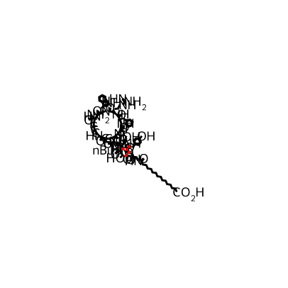 CCCC[C@H](NC(=O)[C@@H](NC(=O)[C@H](Cc1ccc(O)cc1)NC(=O)[C@H](CO)NC(=O)[C@H](CO)CC(=O)CNC(=O)CCCCCCCCCCCCCCC(=O)O)[C@@H](C)O)C(=O)N[C@H]1CCC(=O)NCCCC[C@@H](C(N)=O)NC(=O)[C@H](Cc2c[nH]c3ccccc23)NC(=O)[C@H](CCCNC(=N)N)NC(=O)[C@@H](Cc2ccccc2)NC(=O)[C@@H]2C[C@@H](O)CN2C1=O